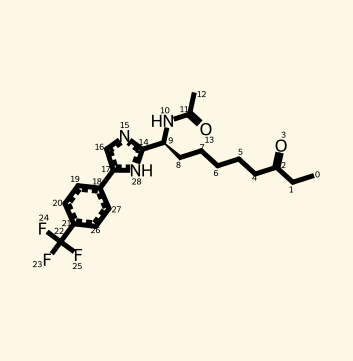 CCC(=O)CCCCC[C@H](NC(C)=O)c1ncc(-c2ccc(C(F)(F)F)cc2)[nH]1